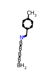 BB=BB=BN=Cc1ccc(C)cc1